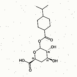 CC(C)C1CCC(C(=O)OC2O[C@H](C(=O)O)C[C@H](O)[C@H]2O)CC1